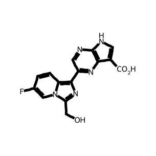 O=C(O)c1c[nH]c2ncc(-c3nc(CO)n4cc(F)ccc34)nc12